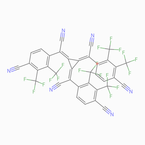 N#CC(=C1C(=C(C#N)c2ccc(C#N)c(C(F)(F)F)c2C(F)(F)F)C1=C(C#N)c1ccc(C#N)c(C(F)(F)F)c1C(F)(F)F)c1ccc(C#N)c(C(F)(F)F)c1C(F)(F)F